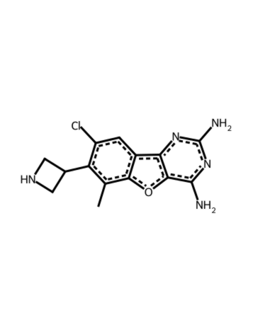 Cc1c(C2CNC2)c(Cl)cc2c1oc1c(N)nc(N)nc12